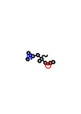 C/C=C\C=C/c1cc(-c2ccc3oc4cc5ccccc5cc4c3c2)c2ccccc2c1-c1cccc(-c2ccc3c(c2)c2ccccc2n3-c2ccccc2)c1